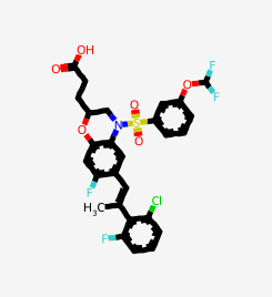 CC(=Cc1cc2c(cc1F)OC(CCC(=O)O)CN2S(=O)(=O)c1cccc(OC(F)F)c1)c1c(F)cccc1Cl